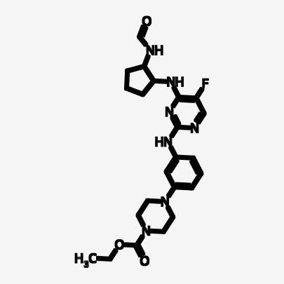 CCOC(=O)N1CCN(c2cccc(Nc3ncc(F)c(NC4CCCC4NC=O)n3)c2)CC1